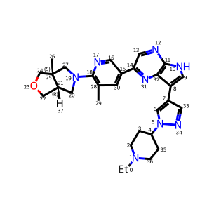 CCN1CCC(n2cc(-c3c[nH]c4ncc(-c5cnc(N6C[C@@H]7COC[C@]7(C)C6)c(C)c5)nc34)cn2)CC1